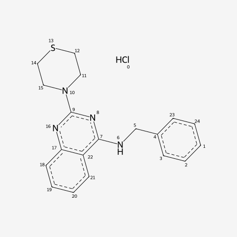 Cl.c1ccc(CNc2nc(N3CCSCC3)nc3ccccc23)cc1